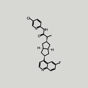 CC(C(=O)Nc1ccc(Cl)cn1)[C@H]1C[C@H]2C[C@@H](c3ccnc4ccc(F)cc34)C[C@H]2C1